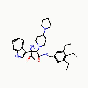 CCc1cc(CNC(=O)C(N2CCC(N3CCCCC3)CC2)C(N)(C(C)=O)c2c[nH]c3ccccc23)cc(CC)c1CC